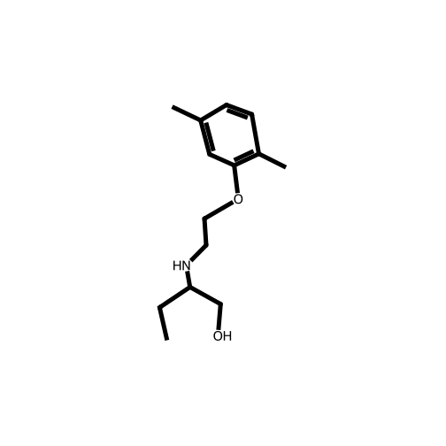 CCC(CO)NCCOc1cc(C)ccc1C